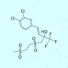 CS(=O)(=O)CCS(=O)(=O)CC(O)(/C=C/c1ccc(Cl)c(Cl)c1)C(F)(F)F